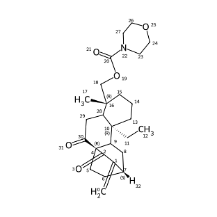 C=C1C(=O)[C@]23CC[C@H]1CC2[C@]1(CC)CCC[C@@](C)(COC(=O)N2CCOCC2)C1CC3=O